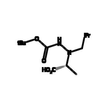 CC(C)CN(NC(=O)OC(C)(C)C)[C@H](C)C(=O)O